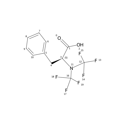 O=C(O)[C@H](Cc1ccccc1)N(C(F)(F)F)C(F)(F)F